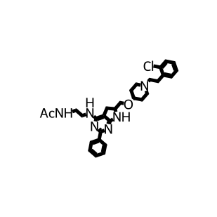 CC(=O)NCCNc1nc(-c2ccccc2)nc2c1CC(COC1CCN(CCc3ccccc3Cl)CC1)N2